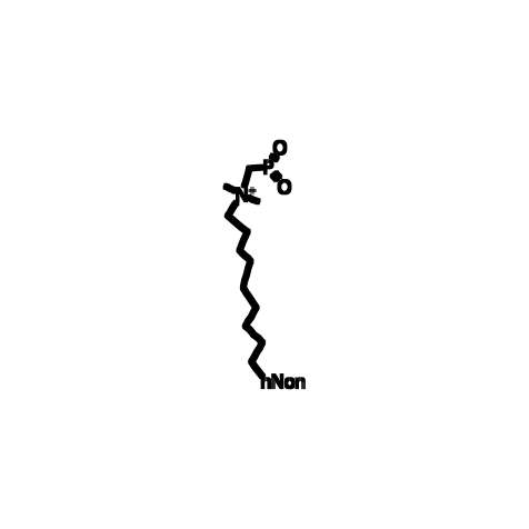 CCCCCCCCCCCCCCCCCC[N+](C)(C)CP(=O)=O